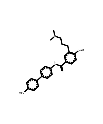 COc1ccc(-c2ccc(NC(=O)c3ccc(OC)c(CCCN(C)C)c3)cc2)cc1